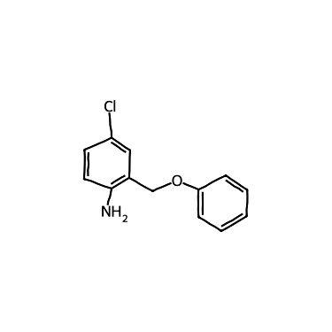 Nc1ccc(Cl)cc1COc1ccccc1